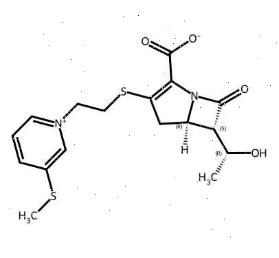 CSc1ccc[n+](CCSC2=C(C(=O)[O-])N3C(=O)[C@H]([C@@H](C)O)[C@H]3C2)c1